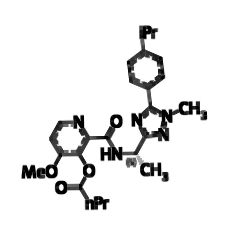 CCCC(=O)Oc1c(OC)ccnc1C(=O)N[C@@H](C)c1nc(-c2ccc(C(C)C)cc2)n(C)n1